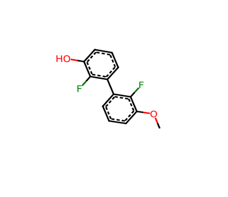 COc1cccc(-c2cccc(O)c2F)c1F